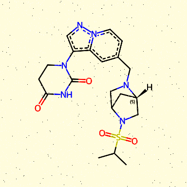 CC(C)S(=O)(=O)N1C[C@@H]2CC1CN2Cc1ccn2ncc(N3CCC(=O)NC3=O)c2c1